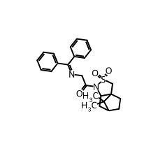 CC1(C)C2CCC13CS(=O)(=O)N(C(=O)CN=C(c1ccccc1)c1ccccc1)C3C2